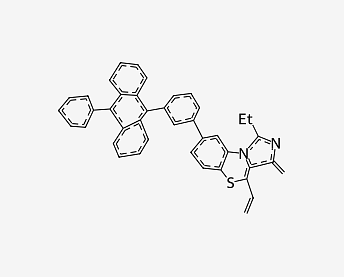 C=CC1=c2c(=C)nc(CC)n2-c2cc(-c3cccc(-c4c5ccccc5c(-c5ccccc5)c5ccccc45)c3)ccc2S1